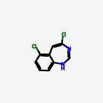 ClC1=Cc2c(Cl)cccc2NC=N1